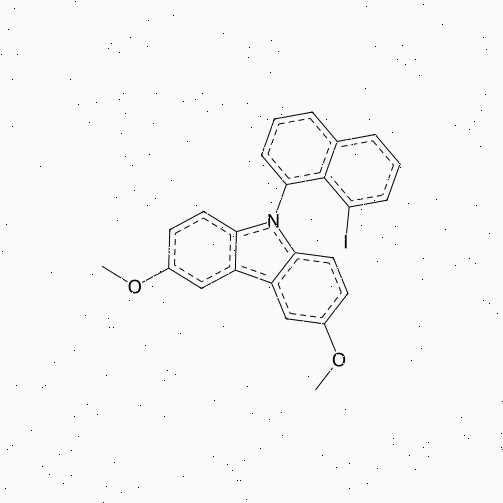 COc1ccc2c(c1)c1cc(OC)ccc1n2-c1cccc2cccc(I)c12